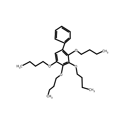 CCCCOc1cc(-c2ccccc2)c(OCCCC)c(OCCCC)c1OCCCC